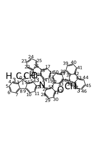 CC1(C)c2ccccc2-c2ccc(N(c3cccc4c3oc3ccccc34)c3cccc4oc5c(C6(C)c7ccccc7-c7ccccc76)cccc5c34)cc21